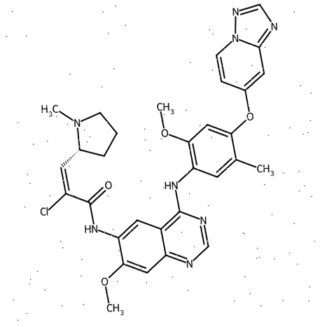 COc1cc2ncnc(Nc3cc(C)c(Oc4ccn5ncnc5c4)cc3OC)c2cc1NC(=O)/C(Cl)=C\[C@H]1CCCN1C